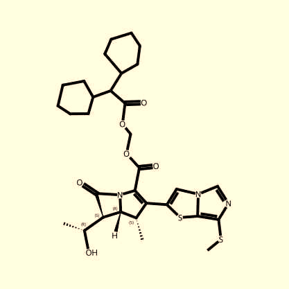 CSc1ncn2cc(C3=C(C(=O)OCOC(=O)C(C4CCCCC4)C4CCCCC4)N4C(=O)[C@H]([C@@H](C)O)[C@H]4[C@H]3C)sc12